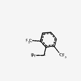 CC(C)[CH]c1c(C(F)(F)F)cccc1C(F)(F)F